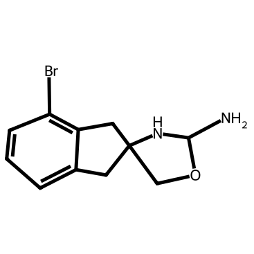 NC1NC2(CO1)Cc1cccc(Br)c1C2